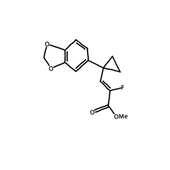 COC(=O)/C(F)=C/C1(c2ccc3c(c2)OCO3)CC1